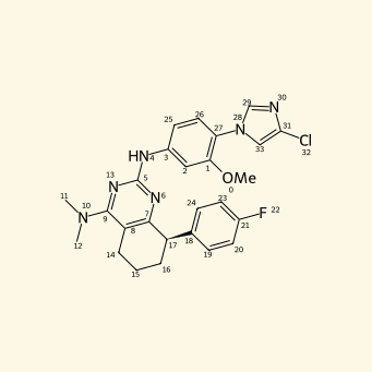 COc1cc(Nc2nc3c(c(N(C)C)n2)CCC[C@@H]3c2ccc(F)cc2)ccc1-n1cnc(Cl)c1